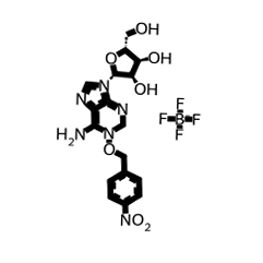 F[B-](F)(F)F.NC1=c2ncn([C@@H]3O[C@H](CO)[C@@H](O)[C@H]3O)c2=NCN1OCc1ccc([N+](=O)[O-])cc1